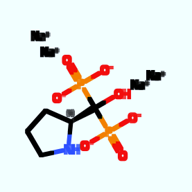 O=P([O-])([O-])C(O)([C@@H]1CCCN1)P(=O)([O-])[O-].[Na+].[Na+].[Na+].[Na+]